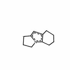 [CH]1CCn2c1cc1c2CCCC1